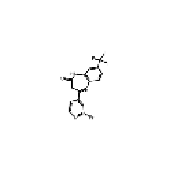 O=C1CC(c2ccnc(Br)c2)=Nc2ccc(C(F)(F)F)cc2N1